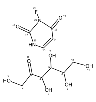 O=C(CO)C(O)C(O)C(O)CO.O=c1cc[nH]c(=O)n1F